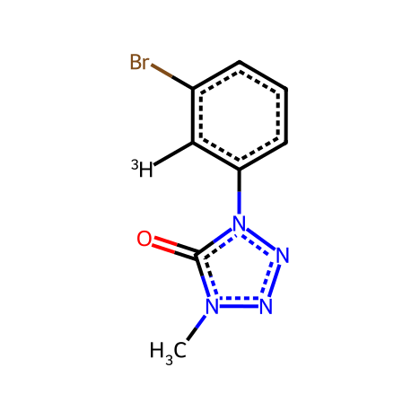 [3H]c1c(Br)cccc1-n1nnn(C)c1=O